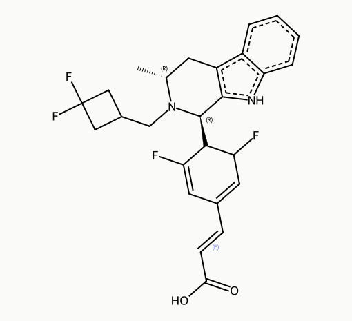 C[C@@H]1Cc2c([nH]c3ccccc23)[C@@H](C2C(F)=CC(/C=C/C(=O)O)=CC2F)N1CC1CC(F)(F)C1